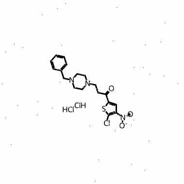 Cl.Cl.O=C(CCN1CCN(Cc2ccccc2)CC1)c1cc([N+](=O)[O-])c(Cl)s1